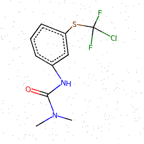 CN(C)C(=O)Nc1cccc(SC(F)(F)Cl)c1